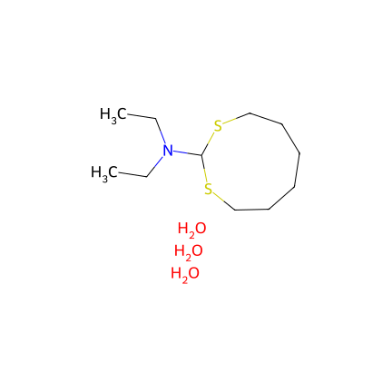 CCN(CC)C1SCCCCCCS1.O.O.O